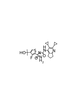 CC(C)(O)c1csc([S@@](N)(=O)=NC(=O)Nc2c3c(nc(C4CC4)c2C2CC2)CCC3)c1F